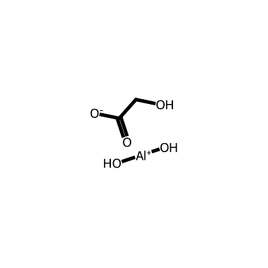 O=C([O-])CO.[OH][Al+][OH]